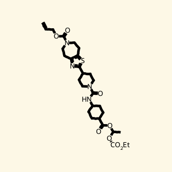 C=CCOC(=O)N1CCc2nc(C3CCN(C(=O)NC4CCC(C(=O)OC(C)OC(=O)OCC)CC4)CC3)sc2CC1